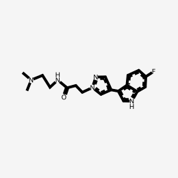 CN(C)CCNC(=O)CCn1cc(-c2c[nH]c3cc(F)ccc23)cn1